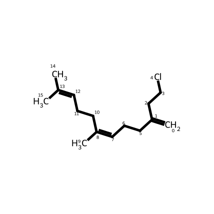 C=C(CCCl)CC/C=C(/C)CCC=C(C)C